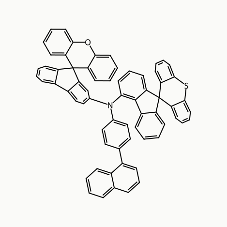 c1ccc2c(c1)Oc1ccccc1C21c2ccccc2-c2ccc(N(c3ccc(-c4cccc5ccccc45)cc3)c3cccc4c3-c3ccccc3C43c4ccccc4Sc4ccccc43)cc21